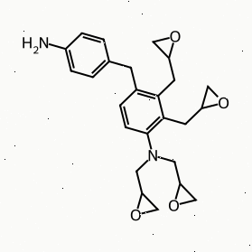 Nc1ccc(Cc2ccc(N(CC3CO3)CC3CO3)c(CC3CO3)c2CC2CO2)cc1